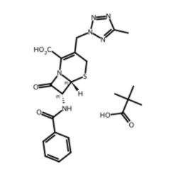 CC(C)(C)C(=O)O.Cc1nnn(CC2=C(C(=O)O)N3C(=O)[C@@H](NC(=O)c4ccccc4)[C@H]3SC2)n1